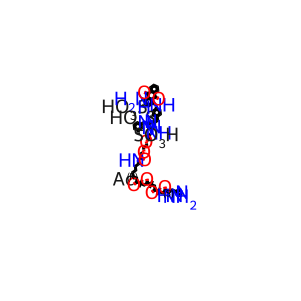 CC(=O)[C@H](CCCCNC(=O)COCCOCCNc1nc(Cc2ccc(Nc3cc(S(=O)(=O)O)c(N)c4c3C(=O)c3ccccc3C4=O)cc2S(=O)(=O)O)nc(Nc2cccc(S(=O)(=O)O)c2)n1)CC(=O)C(C)(C)CC(=O)C(C)(C)CC(=O)C(C)(C)CC(=O)[C@@H](N)Cc1cnc[nH]1